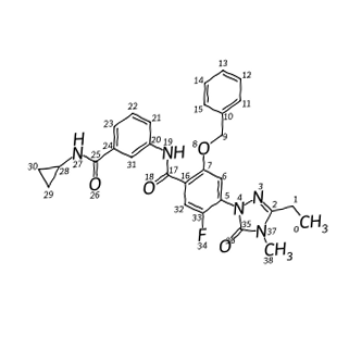 CCc1nn(-c2cc(OCc3ccccc3)c(C(=O)Nc3cccc(C(=O)NC4CC4)c3)cc2F)c(=O)n1C